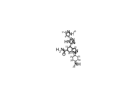 CCn1nc(C)cc1-c1nnc(-c2cc(C(N)=O)cc3c2cnn3[C@H]2CC[C@@H](NC)CC2)[nH]1